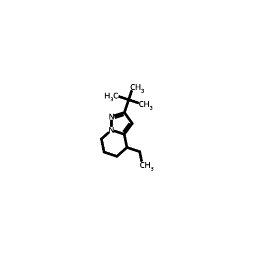 CCC1CCCn2nc(C(C)(C)C)cc21